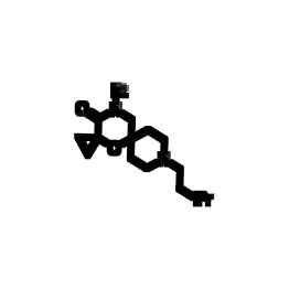 CCN1CC2(CCN(CCC(C)C)CC2)OC2(CC2)C1=O